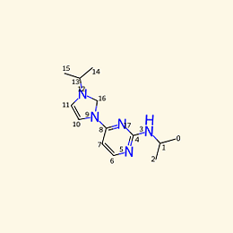 CC(C)Nc1nccc(N2C=CN(C(C)C)C2)n1